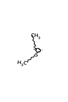 CCCCCCCSc1c[c]cc(SCCCCCCC)c1